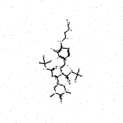 CN1CN(C(=NC(=O)OC(C)(C)C)N(CCc2ccc(OCCCCl)c(I)c2)C(=O)OC(C)(C)C)CN(C)C1=O